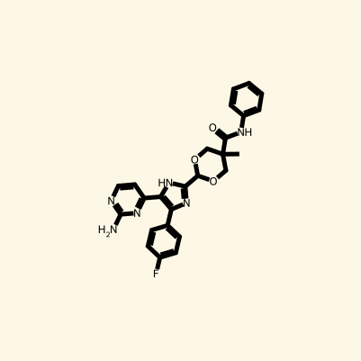 CC1(C(=O)Nc2ccccc2)COC(c2nc(-c3ccc(F)cc3)c(-c3ccnc(N)n3)[nH]2)OC1